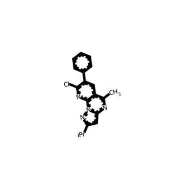 Cc1nc2cc(C(C)C)nn2c2nc(Cl)c(-c3ccccc3)cc12